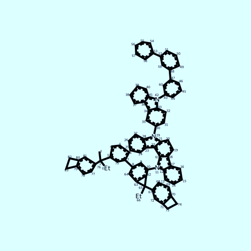 CCC(C)(c1cccc(-c2cc(-n3c4ccccc4c4ccc5c(c6ccccc6n5-c5ccc6c(c5)c5ccccc5n6-c5cccc(-c6cccc(-c7ccccc7)c6)c5)c43)c3c(c2)C3(CC)c2ccc3c(c2)CC3)c1)c1ccc2c(c1)CC2